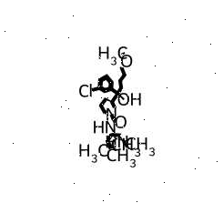 CNCC(CC(C)(C)C)NC(=O)N1CCC[C@@H]([C@@](O)(CCCCOC)c2cccc(Cl)c2)C1